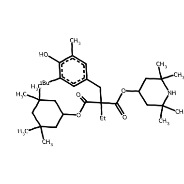 CCC(Cc1cc(C)c(O)c(C(C)(C)C)c1)(C(=O)OC1CC(C)(C)CC(C)(C)C1)C(=O)OC1CC(C)(C)NC(C)(C)C1